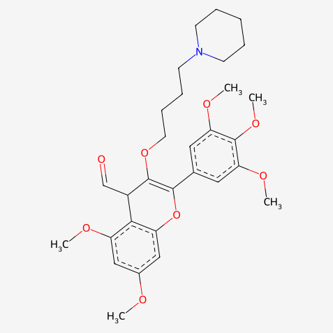 COc1cc(OC)c2c(c1)OC(c1cc(OC)c(OC)c(OC)c1)=C(OCCCCN1CCCCC1)C2C=O